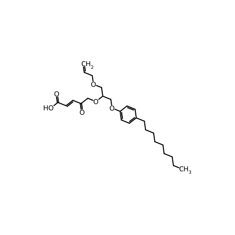 C=CCOCC(COc1ccc(CCCCCCCCC)cc1)OCC(=O)C=CC(=O)O